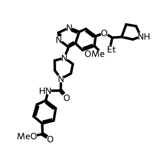 CCC(Oc1cc2ncnc(N3CCN(C(=O)Nc4ccc(C(=O)OC)cc4)CC3)c2cc1OC)C1CCNC1